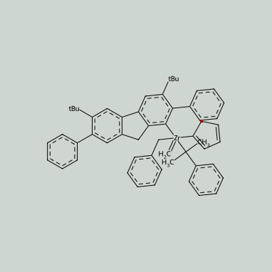 [CH2]=[Zr]([CH2]c1ccccc1)([C]1=CC=CC1)([c]1c2c(cc(C(C)(C)C)c1-c1ccccc1)-c1cc(C(C)(C)C)c(-c3ccccc3)cc1C2)[C](C)(C)c1ccccc1